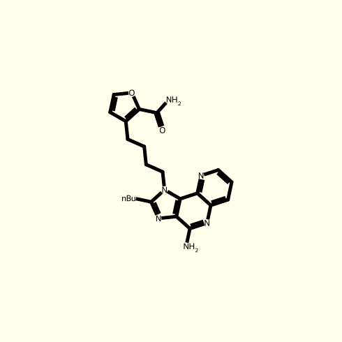 CCCCc1nc2c(N)nc3cccnc3c2n1CCCCc1ccoc1C(N)=O